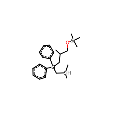 CC(CO[Si](C)(C)C)C[Si](C[SiH](C)C)(c1ccccc1)c1ccccc1